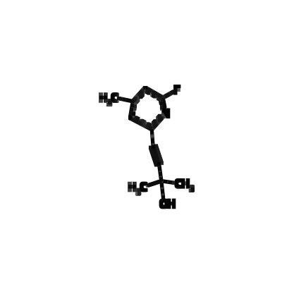 Cc1cc(F)nc(C#CC(C)(C)O)c1